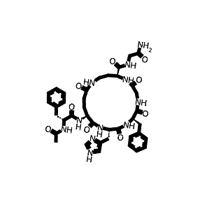 CC(=O)N[C@H](Cc1ccccc1)C(=O)N[C@H]1CCC(=O)NCC[C@@H](C(=O)NCC(N)=O)NC(=O)CNC(=O)[C@@H](Cc2ccccc2)NC(=O)[C@H](Cc2c[nH]cn2)NC1=O